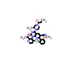 C=CC(=O)N1CCN(c2nc(=O)n(-c3c(C)ccnc3C(C)C)c3nc(-c4c(F)cccc4OC)c(C#N)cc23)C(C)C1